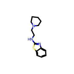 c1ccc2sc(NCCN3CCCCC3)nc2c1